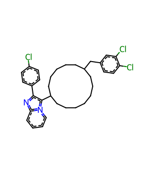 Clc1ccc(-c2nc3ccccn3c2C2CCCCCCCC(Cc3ccc(Cl)c(Cl)c3)CCCCC2)cc1